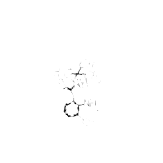 Cc1cccc(C(=O)NC(C)(C)C)c1N